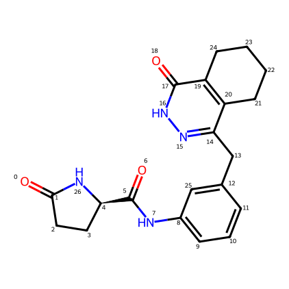 O=C1CC[C@H](C(=O)Nc2cccc(Cc3n[nH]c(=O)c4c3CCCC4)c2)N1